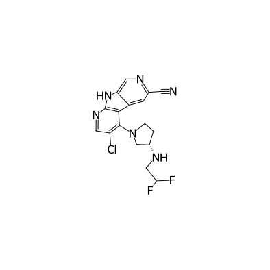 N#Cc1cc2c(cn1)[nH]c1ncc(Cl)c(N3CC[C@H](NCC(F)F)C3)c12